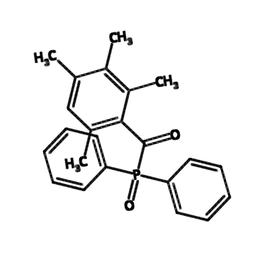 Cc1cc(C)c(C(=O)P(=O)(c2ccccc2)c2ccccc2)c(C)c1C